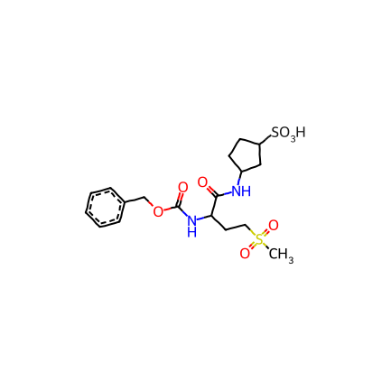 CS(=O)(=O)CCC(NC(=O)OCc1ccccc1)C(=O)NC1CCC(S(=O)(=O)O)C1